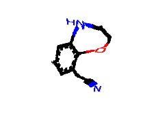 N#Cc1cccc2c1OCCN2